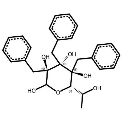 CC(O)[C@@H]1OC(O)[C@](O)(Cc2ccccc2)[C@@](O)(Cc2ccccc2)[C@]1(O)Cc1ccccc1